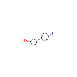 O=C1CCC(c2ccc(I)cc2)C1